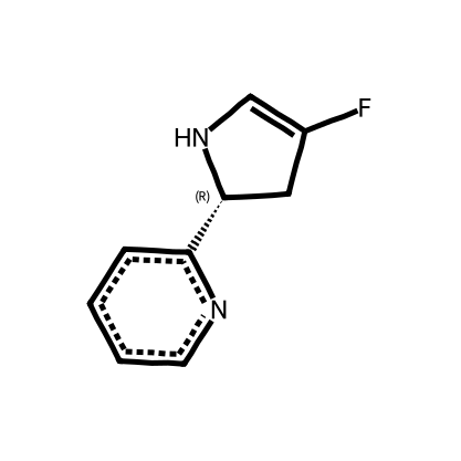 FC1=CN[C@@H](c2ccccn2)C1